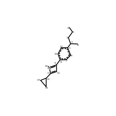 CCCC(C)c1ccc(C2=NC(C3CC3)=C2)cc1